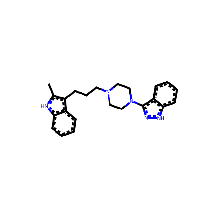 Cc1[nH]c2ccccc2c1CCCN1CCN(c2n[nH]c3ccccc23)CC1